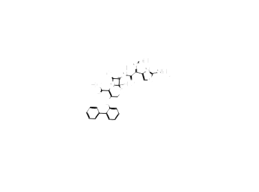 Nc1nc(C(=NO)C(=O)N[C@@H]2C(=O)N3C(C(=O)O)=C(Sc4ccccc4-c4ccccc4)CS[C@@H]23)cs1